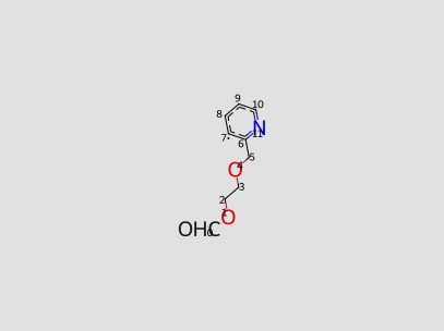 O=COCCOCc1[c]cccn1